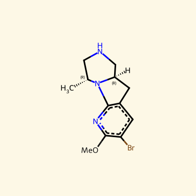 COc1nc2c(cc1Br)C[C@@H]1CNC[C@@H](C)N21